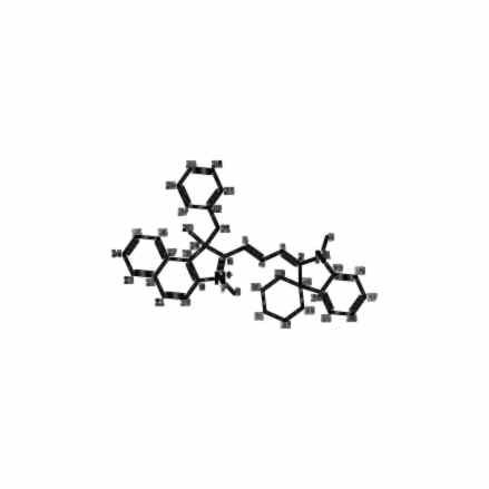 CN1/C(=C/C=C/C2=[N+](C)c3ccc4ccccc4c3C2(C)Cc2ccccc2)C2(CCCCC2)c2ccccc21